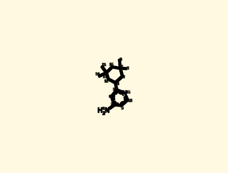 CC1(C)CC(c2cc(N)ccn2)CC(C)(C)C1